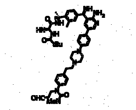 CNC(=O)N(CCC=O)c1ccc(CCN2CCN(c3ccc(-c4cnc(N)c(C(=N)c5ccc([C@@H](C)NC(=O)C(=N)NC(=O)C(C)(C)C)c(C)c5)c4)cc3)CC2)cc1